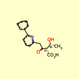 C[C@@H](O)[C@H](C(=O)O)C(=O)Cc1cccc(-c2ccccc2)n1